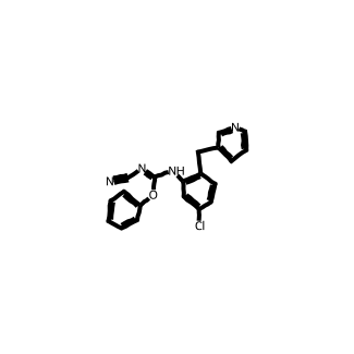 N#C/N=C(/Nc1cc(Cl)ccc1Cc1cccnc1)Oc1ccccc1